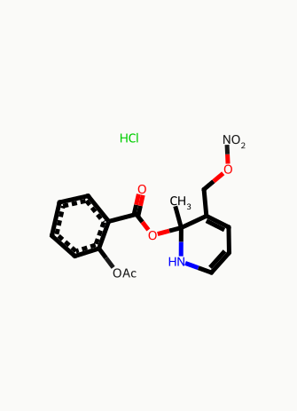 CC(=O)Oc1ccccc1C(=O)OC1(C)NC=CC=C1CO[N+](=O)[O-].Cl